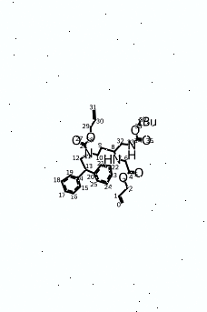 C=CCOC(=O)CNC(CCN(CC(c1ccccc1)c1ccccc1)C(=O)OCC=C)CNC(=O)OC(C)(C)C